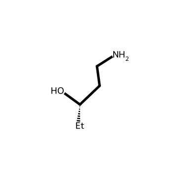 CC[C@H](O)CCN